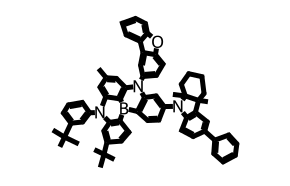 Cc1cc2c3c(c1)N(c1cccc(C(C)(C)C)c1)c1cc(C(C)(C)C)ccc1B3c1ccc(N3c4ccc(-c5ccccc5)cc4C4(C)CCCCC34C)cc1N2c1ccc2oc3ccccc3c2c1